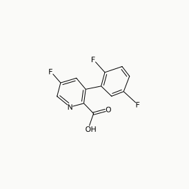 O=C(O)c1ncc(F)cc1-c1cc(F)ccc1F